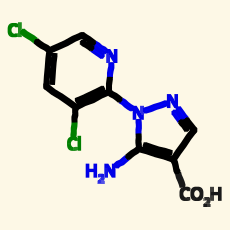 Nc1c(C(=O)O)cnn1-c1ncc(Cl)cc1Cl